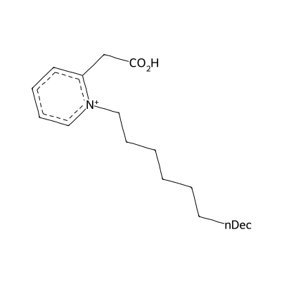 CCCCCCCCCCCCCCCC[n+]1ccccc1CC(=O)O